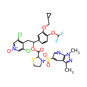 Cc1nn(C)c2ncc(S(=O)(=O)N3CCSC3C(=O)OC(Cc3c(Cl)c[n+]([O-])cc3Cl)c3ccc(OC(F)F)c(OCC4CC4)c3)cc12